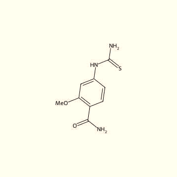 COc1cc(NC(N)=S)ccc1C(N)=O